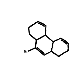 BrC1=CC2CCC=CC2C2C=CCCC12